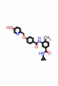 Cc1ccc(C(=O)NC2CC2)cc1NC(=O)c1ccc(OCc2ccc(O)cn2)cc1